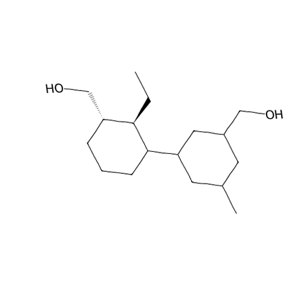 CC[C@H]1C(C2CC(C)CC(CO)C2)CCC[C@@H]1CO